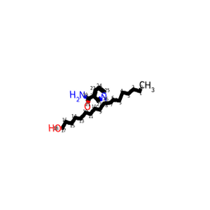 CCCCCCCCCCCCCCCCCCO.NC(=O)c1cccnc1